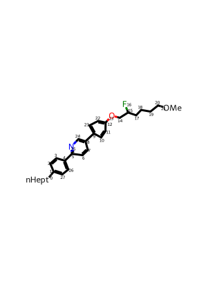 CCCCCCCc1ccc(-c2ccc(-c3ccc(OCC(F)CCCCOC)cc3)cn2)cc1